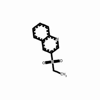 CCS(=O)(=O)c1cnc2ccccc2c1